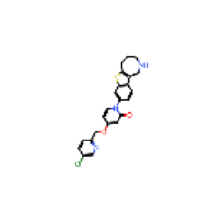 O=c1cc(OCc2ccc(Cl)cn2)ccn1-c1ccc2c3c(sc2c1)CCCNC3